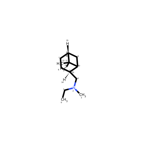 CCN(C)C[C@H]1CC[C@@H]2CC1C2(C)C